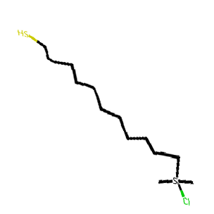 C[Si](C)(Cl)CCCCCCCCCCCS